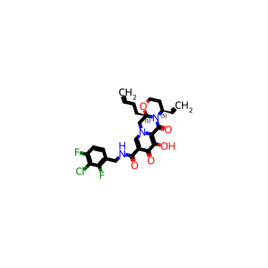 C=CCC[C@]12Cn3cc(C(=O)NCc4ccc(F)c(Cl)c4F)c(=O)c(O)c3C(=O)N1[C@H](C=C)CCO2